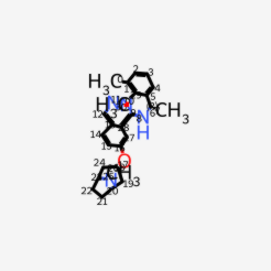 Cc1cccc([C@@H](C)Nc2nncc3ccc(OC4CC5CCC(C4)N5C)cc23)c1C